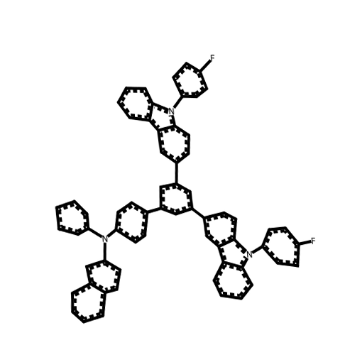 Fc1ccc(-n2c3ccccc3c3cc(-c4cc(-c5ccc(N(c6ccccc6)c6ccc7ccccc7c6)cc5)cc(-c5ccc6c(c5)c5ccccc5n6-c5ccc(F)cc5)c4)ccc32)cc1